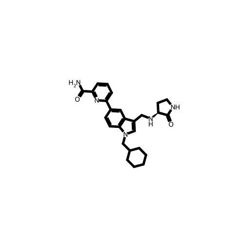 NC(=O)c1cccc(-c2ccc3c(c2)c(CN[C@H]2CCNC2=O)cn3CC2CCCCC2)n1